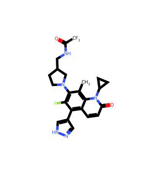 Cc1c(N2CCC(CNC(=O)C(F)(F)F)C2)c(F)c(-c2cn[nH]c2)c2ccc(=O)n(C3CC3)c12